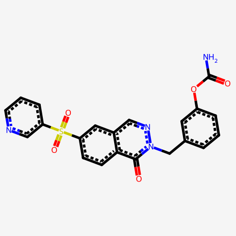 NC(=O)Oc1cccc(Cn2ncc3cc(S(=O)(=O)c4cccnc4)ccc3c2=O)c1